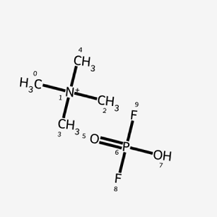 C[N+](C)(C)C.O=P(O)(F)F